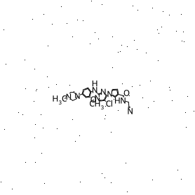 COc1cc(N2CCN(C)CC2)ccc1Nc1ncc(Cl)c(-n2ccc(C(=O)NCC#N)c2)n1